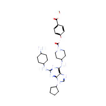 COC(=O)c1ccc(OC(=O)N2CCC(Nc3nc(NC4CCC(N)CC4)nc4c3ncn4C3CCCC3)CC2)cc1